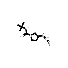 CC(C)(C)OC(=O)N1CCC(N=C=O)C1